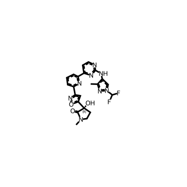 Cc1nn(C(F)F)cc1Nc1nccc(-c2cccc(-c3cc([C@]4(O)CCN(C)C4=O)on3)n2)n1